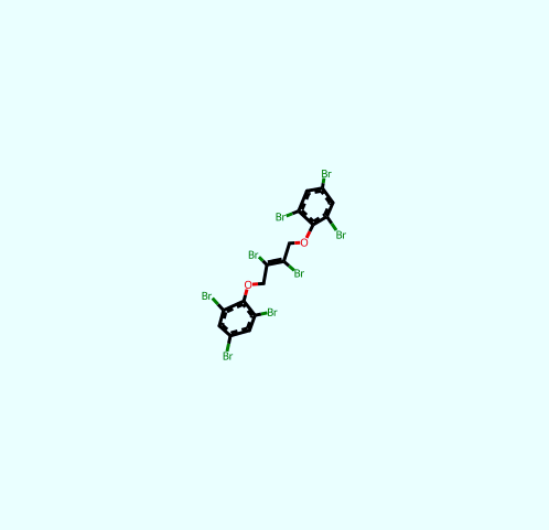 BrC(COc1c(Br)cc(Br)cc1Br)=C(Br)COc1c(Br)cc(Br)cc1Br